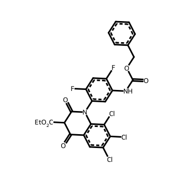 CCOC(=O)C1C(=O)c2cc(Cl)c(Cl)c(Cl)c2N(c2cc(NC(=O)OCc3ccccc3)c(F)cc2F)C1=O